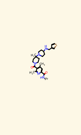 Cc1cc(C(=O)NC(C)C)nc(C)c1C(=O)N1CCC(C)(N2CCC(NCc3ccsc3)CC2)CC1